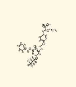 CCOC(Cc1ccc(OCCN(CCOC(F)(F)C(F)(F)C(F)(F)F)C(=O)NCCc2ccccc2)cc1)C(=O)O